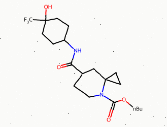 CCCCOC(=O)N1CCC(C(=O)NC2CCC(O)(C(F)(F)F)CC2)CC12CC2